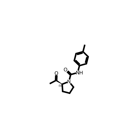 CC(=O)[C@@H]1CCCN1C(=O)Nc1ccc(C)cc1